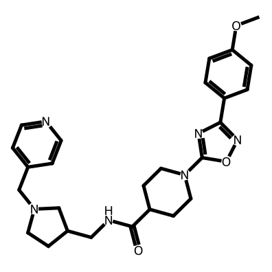 COc1ccc(-c2noc(N3CCC(C(=O)NCC4CCN(Cc5ccncc5)C4)CC3)n2)cc1